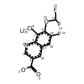 O=C([O-])c1cnc2c(Cl)c(OC(F)F)c(F)cc2c1.[Li+]